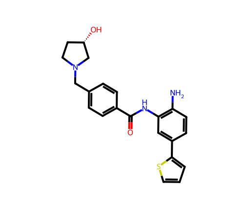 Nc1ccc(-c2cccs2)cc1NC(=O)c1ccc(CN2CC[C@H](O)C2)cc1